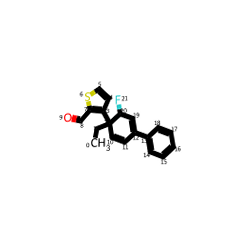 CCC1(c2ccsc2C=O)C=CC(c2ccccc2)=CC1F